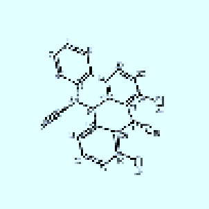 C#C[C@@H](c1ccccc1)C1c2cccc(Cl)c2C(=O)c2c(Cl)cccc21